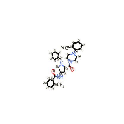 N#Cc1ccccc1N1CCN(C(=O)[C@@H]2C[C@H](NC(=O)c3ccccc3C(F)(F)F)CN2Cc2ccccc2)CC1